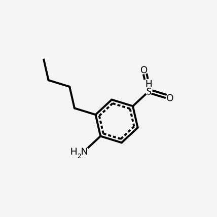 CCCCc1cc([SH](=O)=O)ccc1N